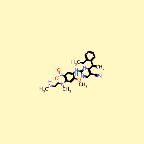 C=C(c1ccccc1CC)c1nc(Nc2cc([N+](=O)[O-])c(N(C)CCNC)cc2OC)ncc1C#N